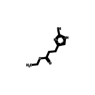 CCOC(=O)CCc1c[nH]c(S)n1